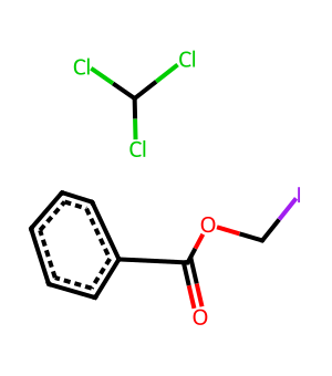 ClC(Cl)Cl.O=C(OCI)c1ccccc1